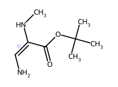 CN/C(=C/N)C(=O)OC(C)(C)C